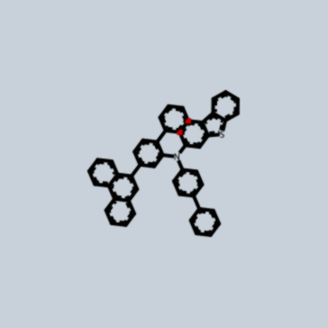 c1ccc(-c2ccc(N(c3ccc4c(c3)sc3ccccc34)c3cc(-c4cc5ccccc5c5ccccc45)ccc3-c3ccccc3)cc2)cc1